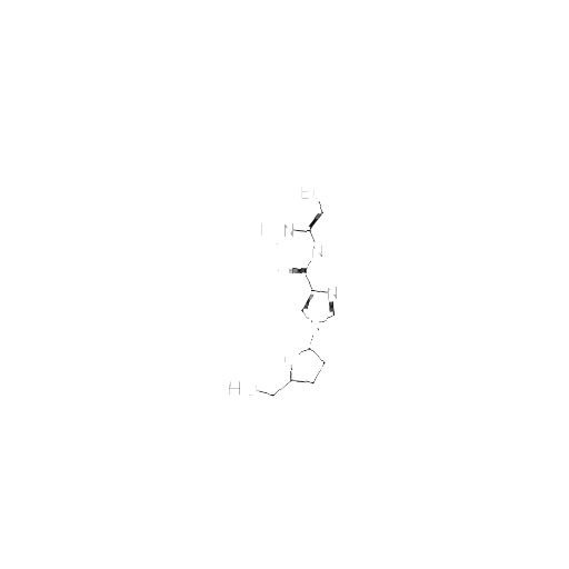 CC/C=C(\N)NC(=O)c1cn([C@H]2CCC(CO)O2)cn1